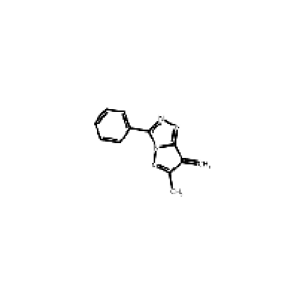 C=c1c(C)nn2c(-c3ccccc3)nnc12